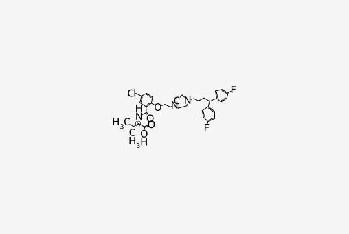 CC(C)[C@H](NC(=O)c1cc(Cl)ccc1OCCN1CCN(CCCC(c2ccc(F)cc2)c2ccc(F)cc2)CC1)C(=O)O